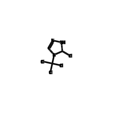 ClC1NN=CN1C(Cl)(Cl)Cl